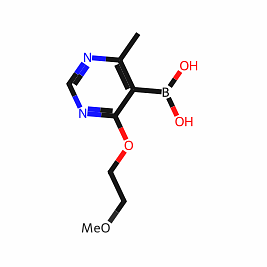 COCCOc1ncnc(C)c1B(O)O